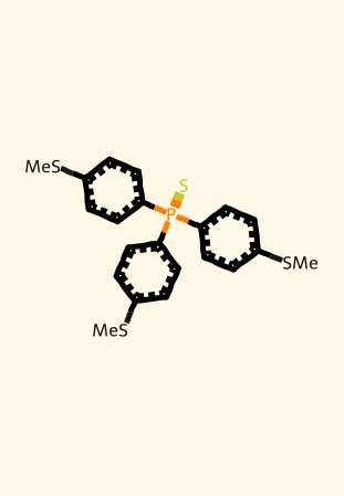 CSc1ccc(P(=S)(c2ccc(SC)cc2)c2ccc(SC)cc2)cc1